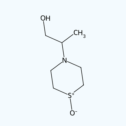 CC(CO)N1CC[S+]([O-])CC1